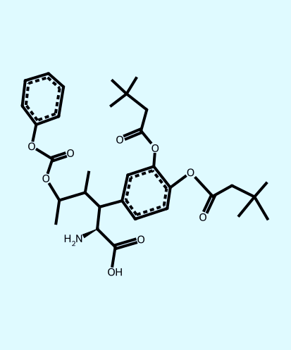 CC(OC(=O)Oc1ccccc1)C(C)C(c1ccc(OC(=O)CC(C)(C)C)c(OC(=O)CC(C)(C)C)c1)[C@H](N)C(=O)O